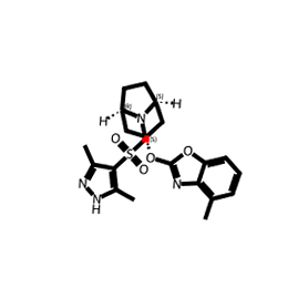 Cc1n[nH]c(C)c1S(=O)(=O)CN1[C@@H]2CC[C@H]1C[C@H](Oc1nc3c(C)cccc3o1)C2